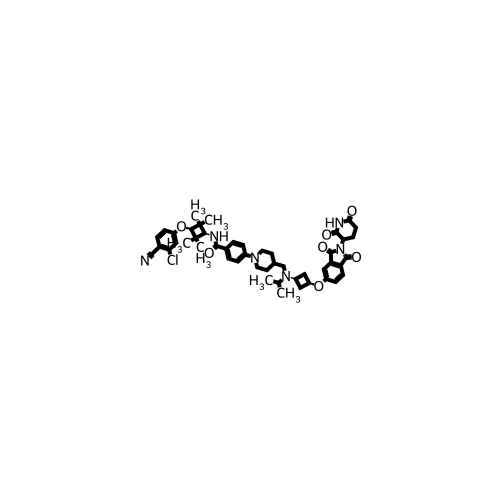 CC(C)N(CC1CCN(c2ccc(C(=O)N[C@H]3C(C)(C)[C@H](Oc4ccc(C#N)c(Cl)c4)C3(C)C)cc2)CC1)[C@H]1C[C@H](Oc2ccc3c(c2)C(=O)N(C2CCC(=O)NC2=O)C3=O)C1